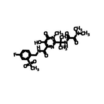 CN(C)C(=O)C(=O)NC(C)(C)c1nc(C(=O)NCc2ccc(F)cc2S(C)(=O)=O)c(O)c(=O)n1C